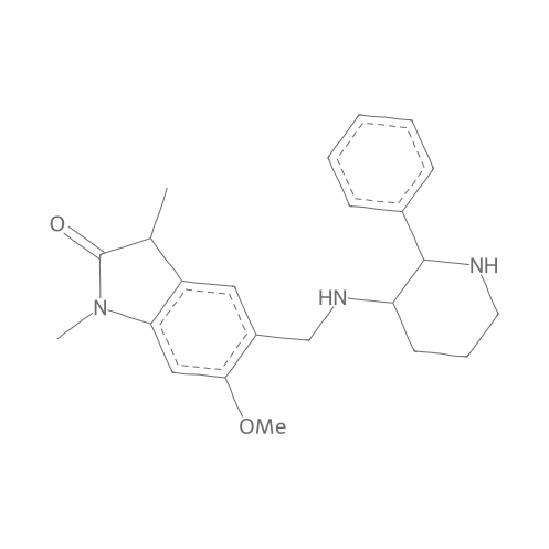 COc1cc2c(cc1CNC1CCCNC1c1ccccc1)C(C)C(=O)N2C